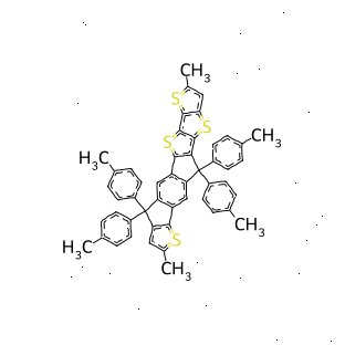 Cc1ccc(C2(c3ccc(C)cc3)c3cc4c(cc3-c3sc(C)cc32)C(c2ccc(C)cc2)(c2ccc(C)cc2)c2c-4sc3c2sc2cc(C)sc23)cc1